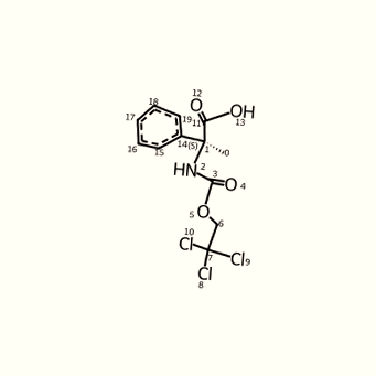 C[C@@](NC(=O)OCC(Cl)(Cl)Cl)(C(=O)O)c1ccccc1